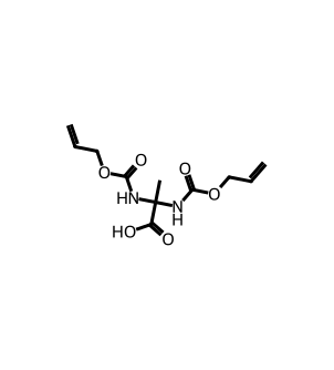 C=CCOC(=O)NC(C)(NC(=O)OCC=C)C(=O)O